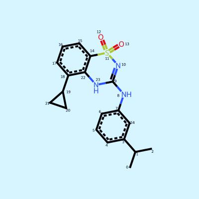 CC(C)c1cccc(NC2=NS(=O)(=O)c3cccc(C4CC4)c3N2)c1